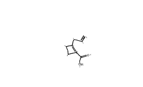 C=CCC1=C(C(=O)O)CC1